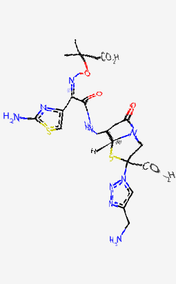 CC(C)(O/N=C(\C(=O)NC1C(=O)N2CC(C(=O)O)(n3cc(CN)nn3)S[C@H]12)c1csc(N)n1)C(=O)O